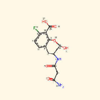 NC(=O)CC(=O)NC1Cc2ccc(F)c(C(=O)O)c2OB1O